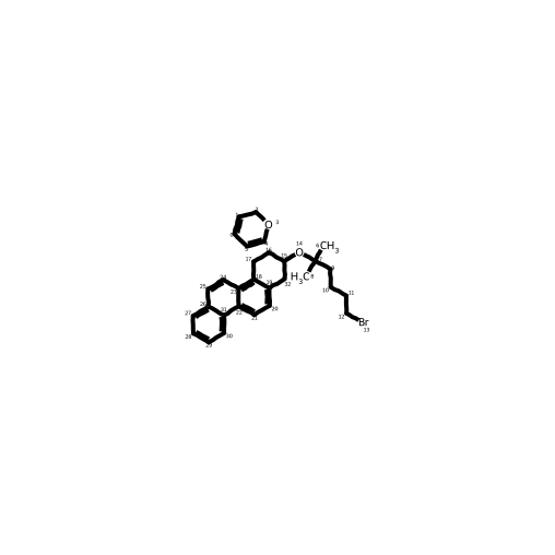 C1=CCOC=C1.CC(C)(CCCCBr)OC1CCc2c(ccc3c2ccc2ccccc23)C1